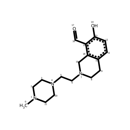 CN1CCN(CCN2CCc3ccc(O)c(C=O)c3C2)CC1